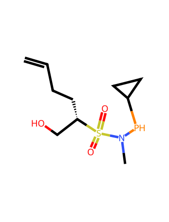 C=CCC[C@@H](CO)S(=O)(=O)N(C)PC1CC1